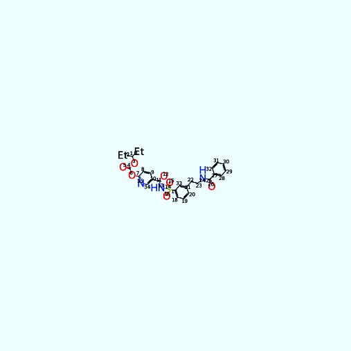 CCC(CC)OC(=O)Oc1ccc(C(=O)NS(=O)(=O)c2cccc(CCNC(=O)c3ccccc3)c2)cn1